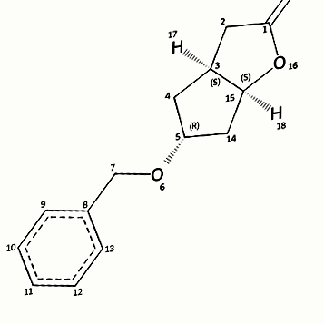 O=C1C[C@@H]2C[C@@H](OCc3ccccc3)C[C@@H]2O1